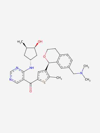 [CH2][C@@H]1C[C@@H](Nc2ncncc2C(=O)c2cc([C@H]3OCCc4ccc(CN(C)C)cc43)c(C)s2)C[C@@H]1O